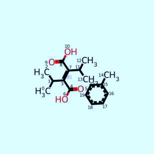 CC(C)/C(C(=O)O)=C(\C(=O)O)C(C)C.Cc1ccccc1